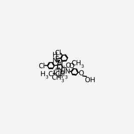 COc1cc(OCCO)ccc1NC(=O)[C@H]1N[C@H](CC(C)(C)C)C2(C(=O)Nc3cc(Cl)ccc32)[C@H]1c1cccc(Cl)c1F